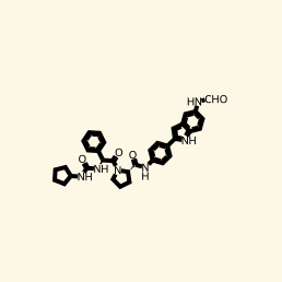 O=CNc1ccc2[nH]c(-c3ccc(NC(=O)[C@@H]4CCCN4C(=O)[C@H](NC(=O)NC4CCCC4)c4ccccc4)cc3)cc2c1